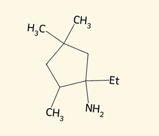 CCC1(N)CC(C)(C)CC1C